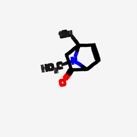 CC(C)(C)C12C=CC(C(=O)C1)N2C(=O)O